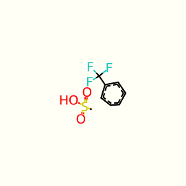 CS(=O)(=O)O.FC(F)(F)c1ccccc1